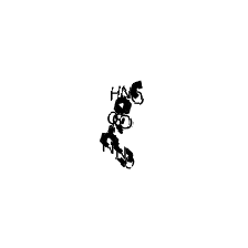 C=CC(=O)Nc1ccc(S(=O)(=O)N(C)Cc2ccnc(N3CCOCC3)c2)cc1